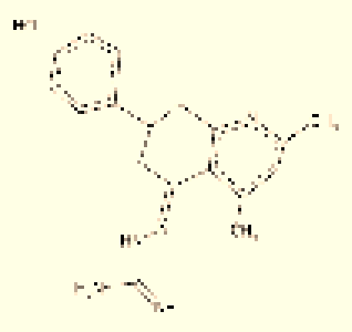 Cc1cc(C)c2c(n1)CC(c1ccccc1)CC2=NNC(=N)N.Cl